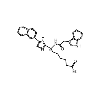 CCC(=O)CCCCC[C@H](NC(=O)Cc1c[nH]c2ccccc12)c1ncc(-c2ccc3ccccc3c2)[nH]1